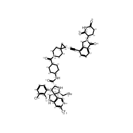 CC(C)(C)C[C@@H]1N[C@@H](C(=O)NC2CCC(C(=O)N3CCC4(CC3)C[C@@H]4C#Cc3cccc4c3CN(C3CCC(=O)NC3=O)C4=O)CC2)[C@H](c2cccc(Cl)c2F)[C@]12CNc1cc(C(F)(F)F)ncc12